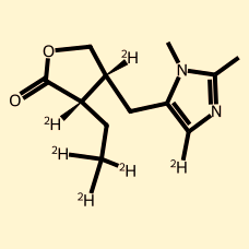 [2H]c1nc(C)n(C)c1C[C@@]1([2H])COC(=O)[C@@]1([2H])CC([2H])([2H])[2H]